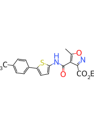 CCOC(=O)c1noc(C)c1C(=O)Nc1ccc(-c2ccc(C(F)(F)F)cc2)s1